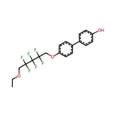 CCOCC(F)(F)C(F)(F)C(F)(F)COc1ccc(-c2ccc(O)cc2)cc1